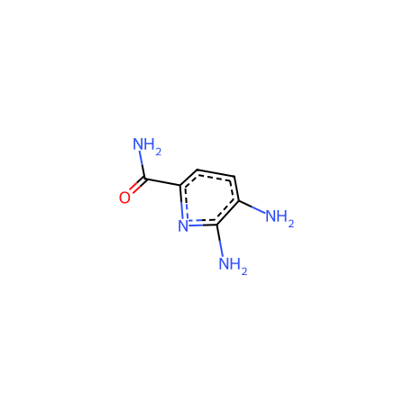 NC(=O)c1ccc(N)c(N)n1